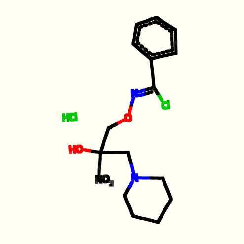 Cl.O=[N+]([O-])C(O)(CON=C(Cl)c1ccccc1)CN1CCCCC1